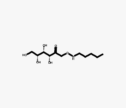 CCCCCNOCC(=O)[C@H](O)[C@@H](O)[C@H](O)CO